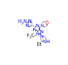 CC[C@H]1CN(c2nc3c(N4CCOCC4)nc(-c4cnc(N)nc4)nc3n2CC(F)(F)F)CCN1